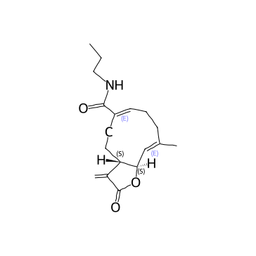 C=C1C(=O)O[C@@H]2/C=C(\C)CC/C=C(/C(=O)NCCC)CC[C@@H]12